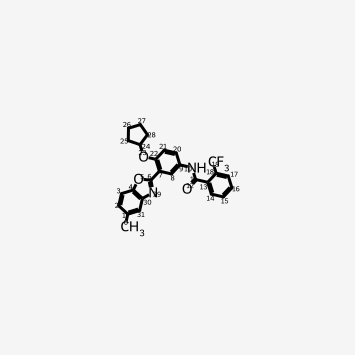 Cc1ccc2oc(-c3cc(NC(=O)c4ccccc4C(F)(F)F)ccc3OC3CCCC3)nc2c1